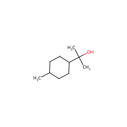 CC1C[CH]C(C(C)(C)O)CC1